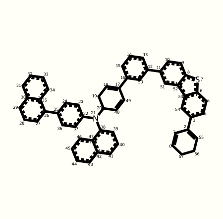 C1=CC(c2ccc3sc4ccc(-c5cccc(C6=CCC(N(c7ccc(-c8cccc9ccccc89)cc7)c7cccc8ccccc78)C=C6)c5)cc4c3c2)=CCC1